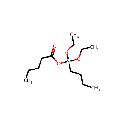 CCCCC(=O)O[Si](CCCC)(OCC)OCC